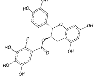 O=C(O[C@@H]1Cc2c(O)cc(O)cc2O[C@H]1c1ccc(O)c(O)c1)c1cc(O)c(O)c(O)c1F